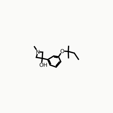 CCC(C)(C)Oc1cccc(C2(O)CN(C)C2)c1